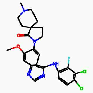 COc1cc2ncnc(Nc3ccc(Cl)c(Cl)c3F)c2cc1N1CCC2(CCN(C)CC2)C1=O